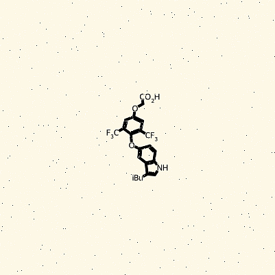 CCC(C)c1c[nH]c2ccc(Oc3c(C(F)(F)F)cc(OCC(=O)O)cc3C(F)(F)F)cc12